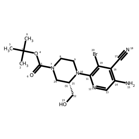 CC(C)(C)OC(=O)N1CCN(c2ncc(N)c(C#N)c2Br)[C@H](CO)C1